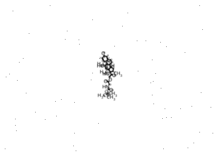 C[C@H]1C[C@H]2[C@@H]3CCC4=CC(=O)C=C[C@]4(C)C3(Cl)[C@@H](O)C[C@]2(C)[C@@]1(O)C(=O)COC(=O)CNC(=O)OC(C)(C)C